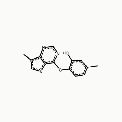 Cc1ccc(Oc2ncnc3c(C)csc23)c(O)c1